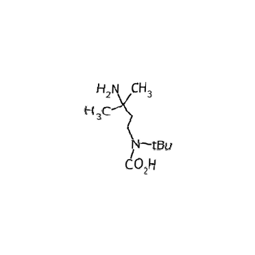 CC(C)(N)CCN(C(=O)O)C(C)(C)C